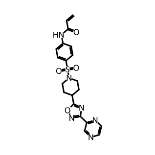 C=CC(=O)Nc1ccc(S(=O)(=O)N2CCC(c3nc(-c4cnccn4)no3)CC2)cc1